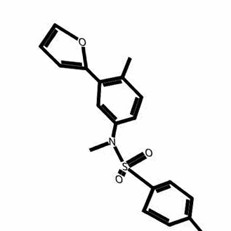 Cc1ccc(S(=O)(=O)N(C)c2ccc(C)c(-c3ccco3)c2)cc1